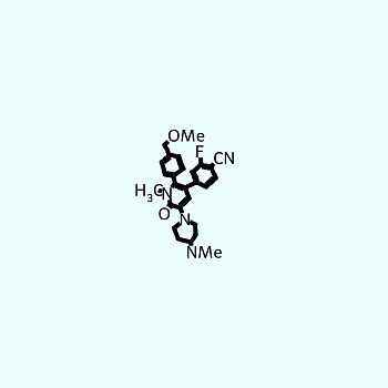 CNC1CCN(c2cc(-c3ccc(C#N)c(F)c3)c(-c3ccc(COC)cc3)n(C)c2=O)CC1